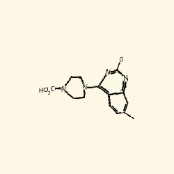 Cc1ccc2c(N3CCN(C(=O)O)CC3)nc(Cl)nc2c1